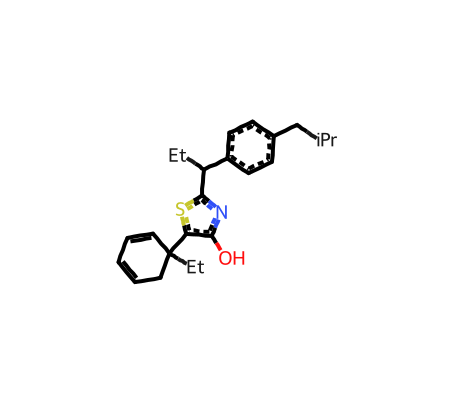 CCC(c1ccc(CC(C)C)cc1)c1nc(O)c(C2(CC)C=CC=CC2)s1